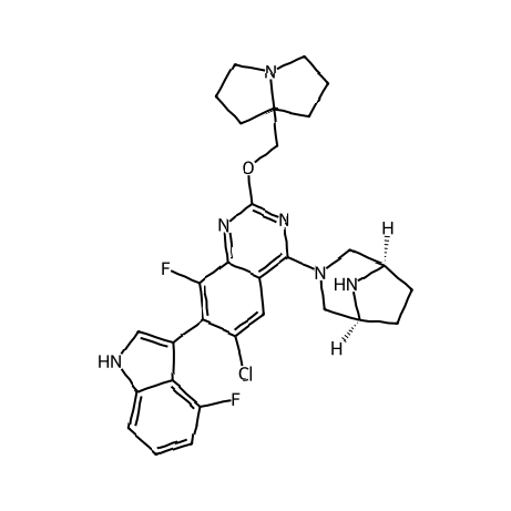 Fc1c(-c2c[nH]c3cccc(F)c23)c(Cl)cc2c(N3C[C@H]4CC[C@@H](C3)N4)nc(OCC34CCCN3CCC4)nc12